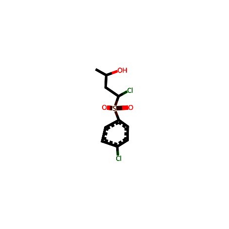 CC(O)CC(Cl)S(=O)(=O)c1ccc(Cl)cc1